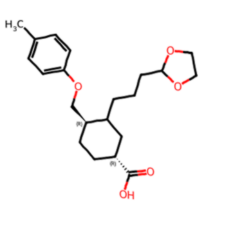 Cc1ccc(OC[C@@H]2CC[C@@H](C(=O)O)CC2CCCC2OCCO2)cc1